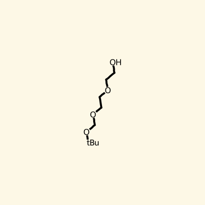 CC(C)(C)OCOCCOCCO